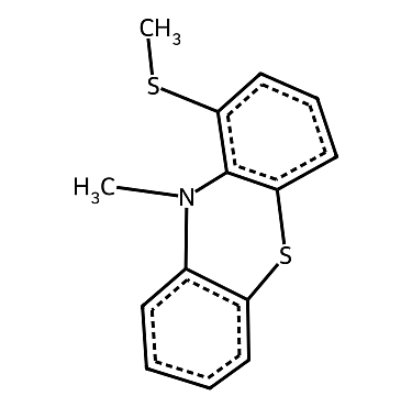 CSc1cccc2c1N(C)c1ccccc1S2